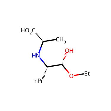 CCC[C@H](N[C@@H](C)C(=O)O)[C@H](O)OCC